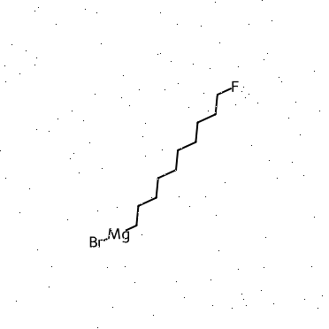 FCCCCCCCCC[CH2][Mg][Br]